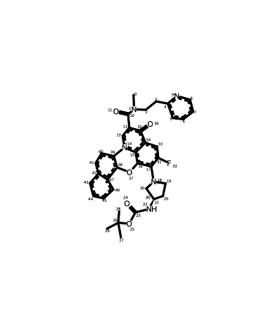 CN(CCc1ccccn1)C(=O)c1cn2c3c(c(N4CC[C@@H](NC(=O)OC(C)(C)C)C4)c(F)cc3c1=O)Oc1c-2ccc2ccccc12